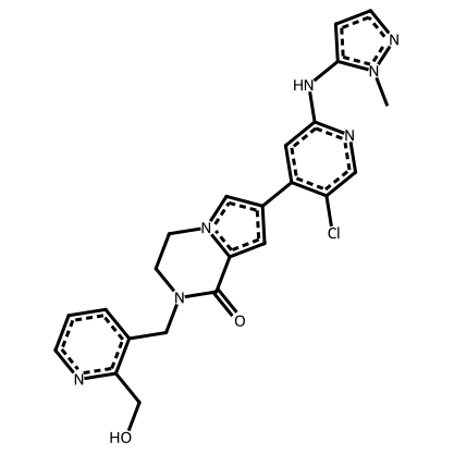 Cn1nccc1Nc1cc(-c2cc3n(c2)CCN(Cc2cccnc2CO)C3=O)c(Cl)cn1